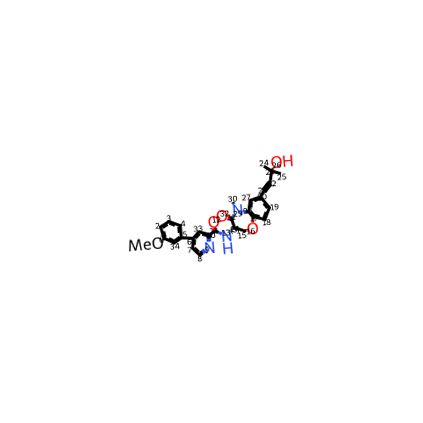 COc1cccc(-c2ccnc(C(=O)N[C@H]3COc4ccc(C#CC(C)(C)O)cc4N(C)C3=O)c2)c1